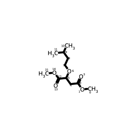 COC(=O)CC(OCCC(C)C)C(=O)OC